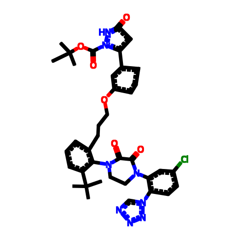 CC(C)(C)OC(=O)n1[nH]c(=O)cc1-c1cccc(OCCCc2cccc(C(C)(C)C)c2N2CCN(c3cc(Cl)ccc3-n3cnnn3)C(=O)C2=O)c1